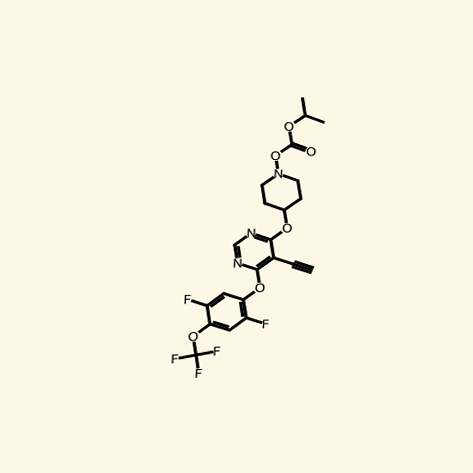 C#Cc1c(Oc2cc(F)c(OC(F)(F)F)cc2F)ncnc1OC1CCN(OC(=O)OC(C)C)CC1